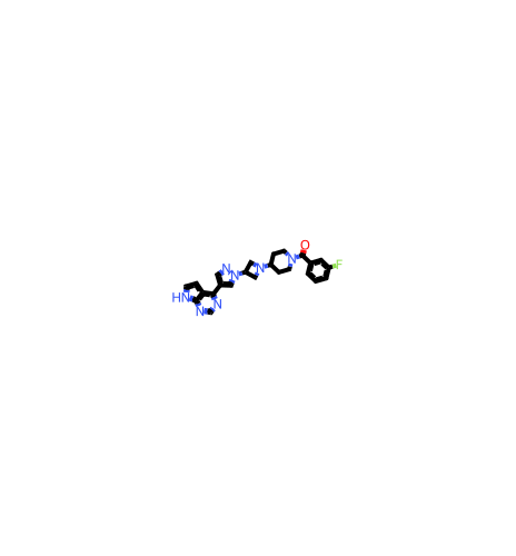 O=C(c1cccc(F)c1)N1CCC(N2C[C](n3cc(-c4ncnc5[nH]ccc45)cn3)C2)CC1